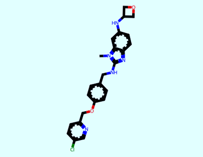 Cn1c(NCc2ccc(OCc3ccc(Cl)cn3)cc2)nc2ccc(NC3COC3)cc21